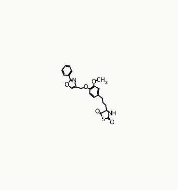 COc1cc(CCCC2NC(=O)SC2=O)ccc1OCc1coc(-c2ccccc2)n1